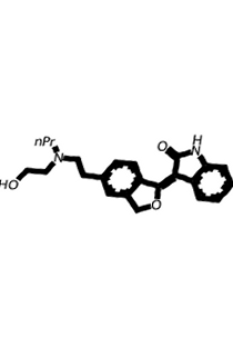 CCCN(CCO)CCc1ccc2c(c1)COC2=C1C(=O)Nc2ccccc21